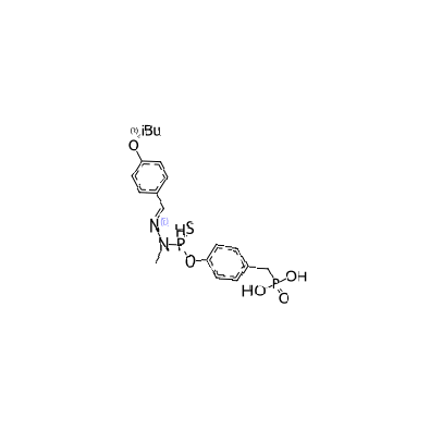 CC[C@@H](C)Oc1ccc(/C=N/N(C)[PH](=S)Oc2ccc(CP(=O)(O)O)cc2)cc1